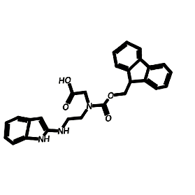 O=C(O)CN(CCNc1cc2ccccc2[nH]1)C(=O)OCC1c2ccccc2-c2ccccc21